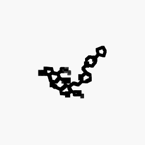 Cc1ncc(C#N)c(Nc2ccc3[nH]ccc3c2C)c1C=Cc1cccc(CN2CCN(C3CCCC3)CC2)n1